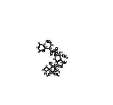 CC1(C)c2[nH]nc(NC(=O)C3(S(C)(C)C)CCC3)c2CN1C(=O)NC(CO)c1ccccn1